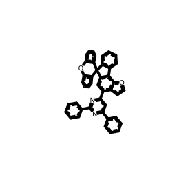 c1ccc(-c2cc(-c3cc4c(c5occc35)-c3ccccc3C43c4ccccc4Oc4ccccc43)nc(-c3ccccc3)n2)cc1